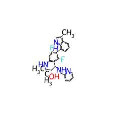 Cc1c[nH]c2c(-c3c(F)cc4c(c3F)[C@@H](NCc3ccccn3)[C@H](O)C(C)(C)N4)cccc12